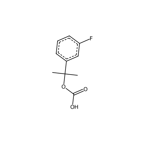 CC(C)(OC(=O)O)c1cccc(F)c1